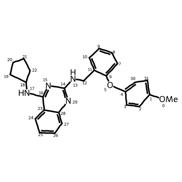 COc1ccc(Oc2ccccc2CNc2nc(NC3CCCC3)c3ccccc3n2)cc1